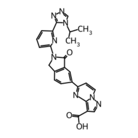 CC(C)n1cnnc1-c1cccc(N2Cc3ccc(-c4ccn5ncc(C(=O)O)c5n4)cc3C2=O)n1